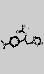 CN(C)c1ccc(C(Cn2ncnn2)OC(N)=O)cc1